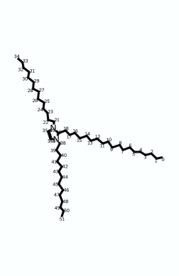 CCCCCCCCCCCCCCCCCCCC1N(CCCCCCCCCCCCCC)C=CN1CCCCCCCCCCCCCC